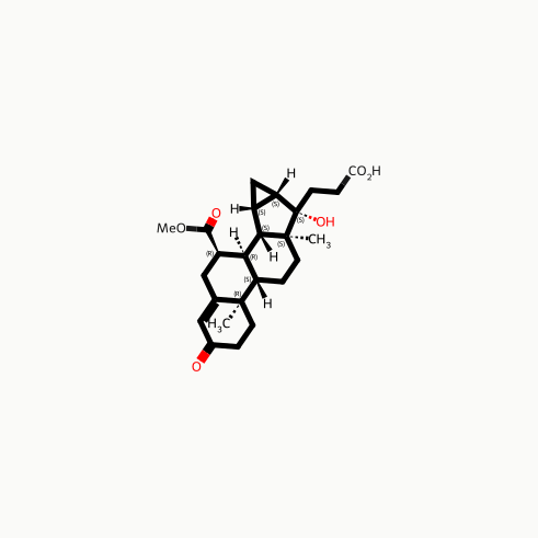 COC(=O)[C@@H]1CC2=CC(=O)CC[C@]2(C)[C@H]2CC[C@@]3(C)[C@@H]([C@@H]4C[C@@H]4[C@@]3(O)CCC(=O)O)[C@H]12